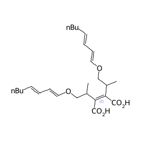 CCCCC=CC=COCC(C)/C(C(=O)O)=C(/C(=O)O)C(C)COC=CC=CCCCC